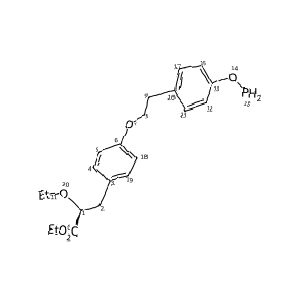 CCOC(=O)[C@H](Cc1ccc(OCCc2ccc(OP)cc2)cc1)OCC